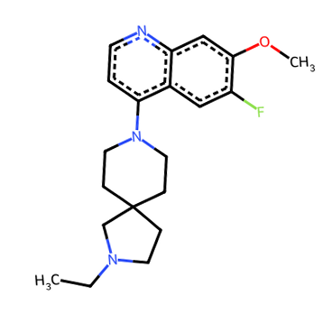 CCN1CCC2(CCN(c3ccnc4cc(OC)c(F)cc34)CC2)C1